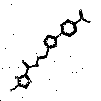 O=C(NN=Cc1ccc(-c2ccc([N+](=O)[O-])cc2)o1)c1ncc(Br)[nH]1